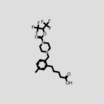 Cc1ccc(CN2CCN(C(=O)OC(C(F)(F)F)C(F)(F)F)CC2)c(CCCCC(=O)O)c1